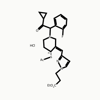 CCOC(=O)CCn1ccc(C=C2CN(C(C(=O)C3CC3)c3ccccc3F)CC[C@H]2SC(C)=O)n1.Cl